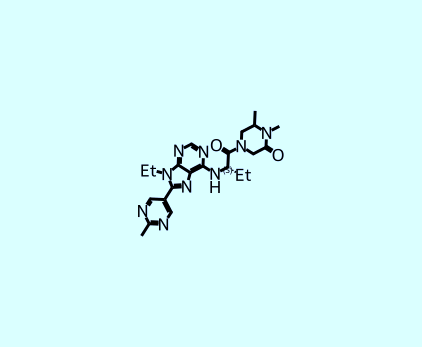 CC[C@H](Nc1ncnc2c1nc(-c1cnc(C)nc1)n2CC)C(=O)N1CC(=O)N(C)C(C)C1